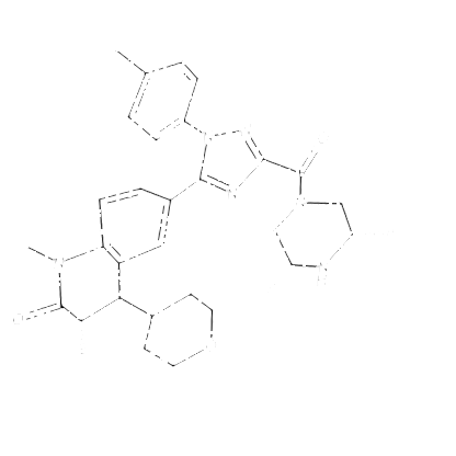 Cc1ccc(-n2nc(C(=O)N3C[C@@H](C)N[C@@H](C)C3)nc2-c2ccc3c(c2)C(C2CCOCC2)[C@H](C)C(=O)N3C)cc1